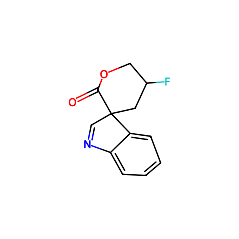 O=C1OCC(F)CC12C=Nc1ccccc12